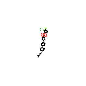 CCCCC[C@H]1CC[C@H](c2ccc([C@H]3CC[C@H](C(=O)Oc4ccc(F)c(Cl)c4)CC3)cc2)CC1